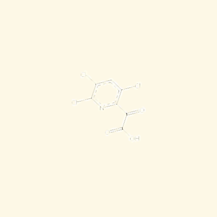 O=C(O)C(=O)c1nc(Cl)c(Cl)cc1Cl